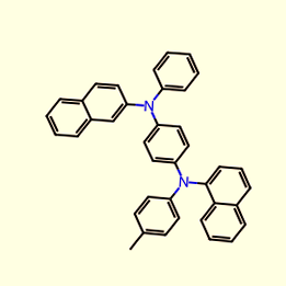 Cc1ccc(N(c2ccc(N(c3ccccc3)c3ccc4ccccc4c3)cc2)c2cccc3ccccc23)cc1